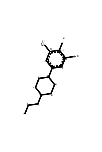 CCCC1CCC(c2cc(F)c(I)c(Cl)c2)CC1